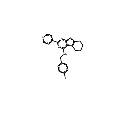 Fc1ccc(CNc2nc(-c3ccncc3)nc3sc4c(c23)CCCC4)cc1